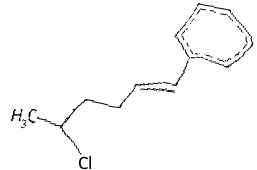 CC(Cl)CCC=Cc1ccccc1